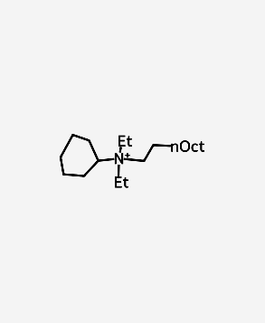 CCCCCCCCCC[N+](CC)(CC)C1CCCCC1